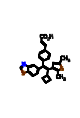 Cc1cc(/C(=C(\c2ccc(/C=C/C(=O)O)cc2)c2ccc3scnc3c2)C2CCC2)c(C)s1